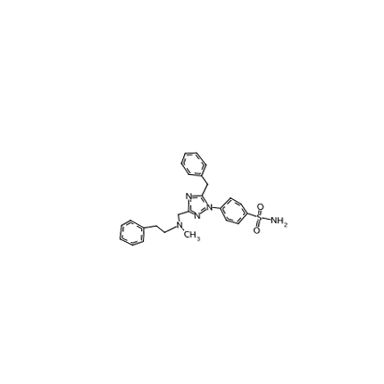 CN(CCc1ccccc1)Cc1nc(Cc2ccccc2)n(-c2ccc(S(N)(=O)=O)cc2)n1